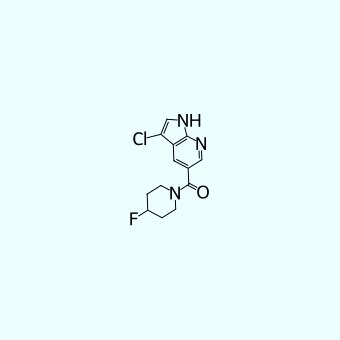 O=C(c1cnc2[nH]cc(Cl)c2c1)N1CCC(F)CC1